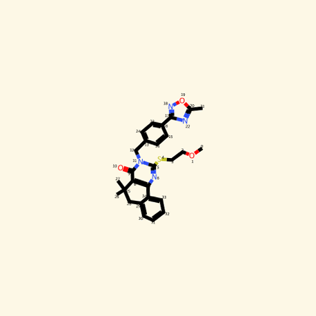 COCCSc1nc2c(c(=O)n1Cc1ccc(-c3noc(C)n3)cc1)C(C)(C)Cc1ccccc1-2